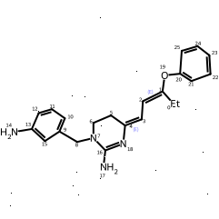 CC/C(=C\C=C1/CCN(Cc2cccc(N)c2)C(N)=N1)Oc1ccccc1